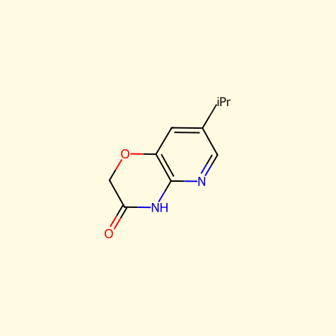 CC(C)c1cnc2c(c1)OCC(=O)N2